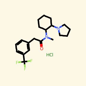 CN(C(=O)Cc1cccc(C(F)(F)F)c1)C1CCCCC1N1CCCC1.Cl